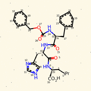 CC(C)C[C@H](NC(=O)[C@H](Cc1c[nH]cn1)NC(=O)[C@H](Cc1ccccc1)NC(=O)OCc1ccccc1)C(=O)O